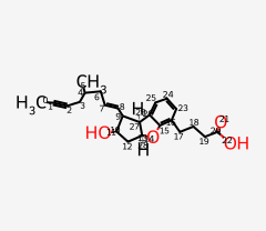 CC#CCC(C)C/C=C/C1[C@H](O)C[C@@H]2Oc3c(CCCC(=O)O)cccc3[C@H]12